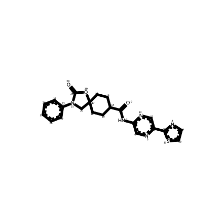 O=C(Nc1cnc(-c2nccs2)cn1)C1CCC2(CC1)CN(c1ccccc1)C(=O)O2